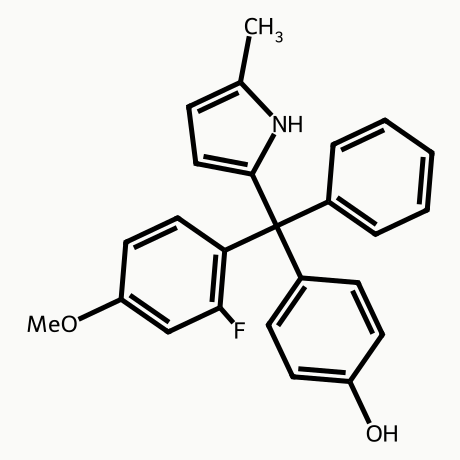 COc1ccc(C(c2ccccc2)(c2ccc(O)cc2)c2ccc(C)[nH]2)c(F)c1